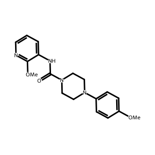 COc1ccc(N2CCN(C(=O)Nc3cccnc3OC)CC2)cc1